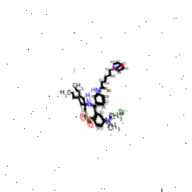 CCCCCC1(CCCCC)CS(=O)(=O)c2ccc(N(C)C)cc2C(c2cccc(NC(=S)CCCCC[N+]34CCC(CC3)CC4)c2)N1.[Br-]